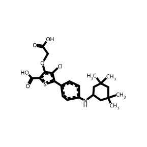 CC1(C)CC(Nc2ccc(-c3sc(C(=O)O)c(OCC(=O)O)c3Cl)cc2)CC(C)(C)C1